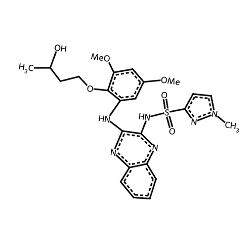 COc1cc(Nc2nc3ccccc3nc2NS(=O)(=O)c2ccn(C)n2)c(OCCC(C)O)c(OC)c1